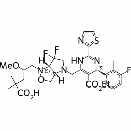 CCOC(=O)C1=C(CN2CC(F)(F)[C@@H]3[C@H]2CON3CC(CC(C)(C)C(=O)O)OC)NC(c2nccs2)=N[C@H]1c1cccc(F)c1C